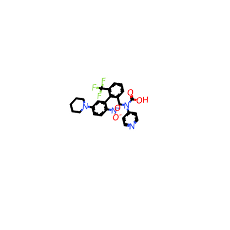 O=C(O)N(Cc1cccc(C(F)(F)F)c1-c1cc(N2CCCCC2)ccc1[N+](=O)[O-])c1ccncc1